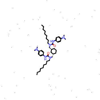 CCCCCCCCCN(C[C@H]1CCC[C@H](CN(CCCCCCCCC)C(=O)Nc2ccc(N(C)C)cc2)C1)C(=O)Nc1ccc(N(C)C)cc1